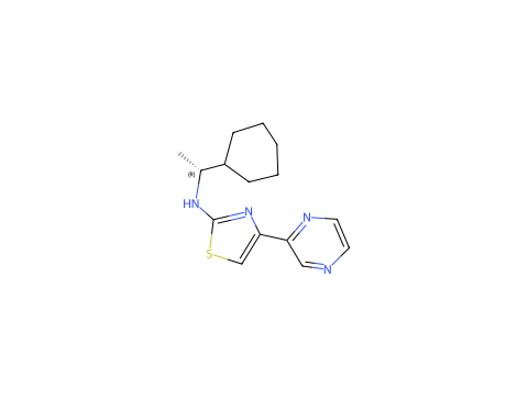 C[C@@H](Nc1nc(-c2cnccn2)cs1)C1CCCCC1